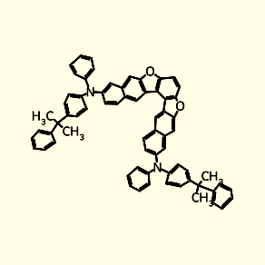 CC(C)(c1ccccc1)c1ccc(N(c2ccccc2)c2ccc3cc4c(cc3c2)oc2ccc3oc5cc6cc(N(c7ccccc7)c7ccc(C(C)(C)c8ccccc8)cc7)ccc6cc5c3c24)cc1